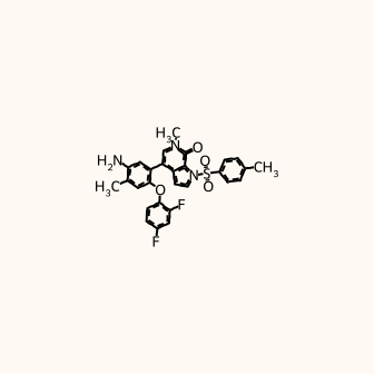 Cc1ccc(S(=O)(=O)n2ccc3c(-c4cc(N)c(C)cc4Oc4ccc(F)cc4F)cn(C)c(=O)c32)cc1